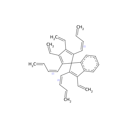 C=C/C=C\C1=C(C=C)C(C=C)=C(/C=C\C=C)C12C(/C=C\C=C)=C(C=C)c1ccccc12